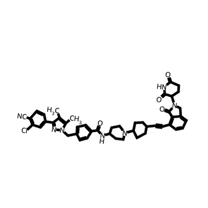 Cc1c(-c2ccc(C#N)c(Cl)c2)nn(Cc2ccc(C(=O)NC3CCN(C4CCC(C#Cc5cccc6c5C(=O)N(C5CCC(=O)NC5=O)C6)CC4)CC3)cc2)c1C